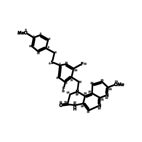 COc1ccc(CSc2cc(F)c(CN3CC(=O)Nc4cnc5nc(OC)ccc5c43)c(F)c2)cc1